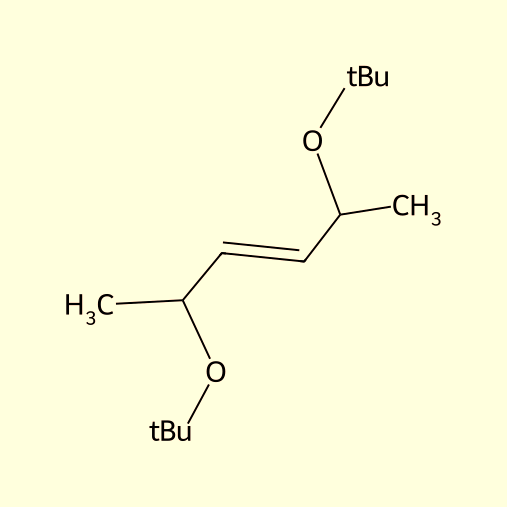 CC(/C=C/C(C)OC(C)(C)C)OC(C)(C)C